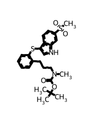 CN(CCCc1ccccc1Sc1c[nH]c2cc(S(C)(=O)=O)ccc12)C(=O)OC(C)(C)C